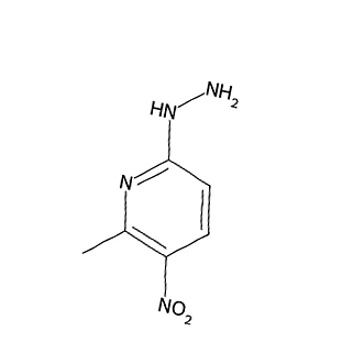 Cc1nc(NN)ccc1[N+](=O)[O-]